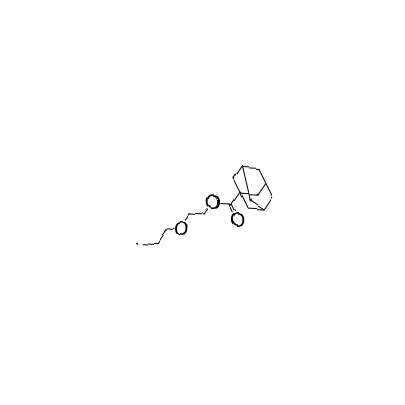 [CH2]CCOCCOC(=O)C12CC3CC(CC(C3)C1)C2